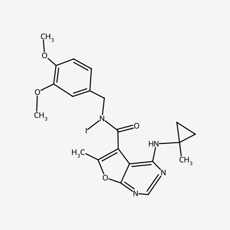 COc1ccc(CN(I)C(=O)c2c(C)oc3ncnc(NC4(C)CC4)c23)cc1OC